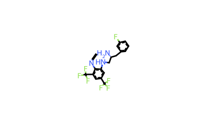 C=C=Nc1c(NC[C@H](N)Cc2cccc(F)c2)cc(C(F)(F)F)cc1C(F)(F)F